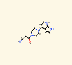 N#CCC(=O)N1CCN(c2ccnc3[nH]ccc23)CC1